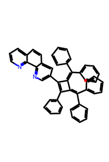 c1ccc(C2=C(c3cnc4c(ccc5cccnc54)c3)C(=C(c3ccccc3)c3ccccc3)C2=C(c2ccccc2)c2ccccc2)cc1